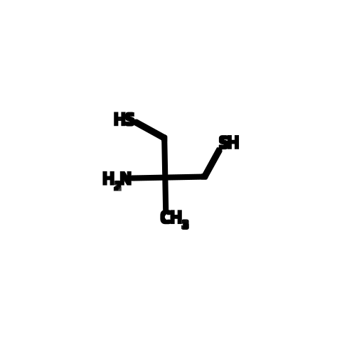 CC(N)(CS)CS